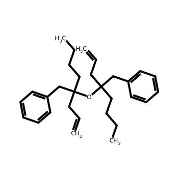 C=CCC(CCCC)(Cc1ccccc1)OC(CC=C)(CCCC)Cc1ccccc1